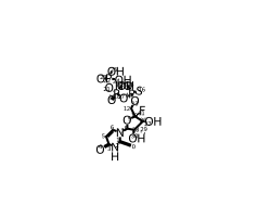 C=C1NC(=O)C=CN1C1O[C@](F)(COP(O)(=S)OP(=O)(O)OP(=O)(O)O)[C@@H](O)[C@@]1(C)O